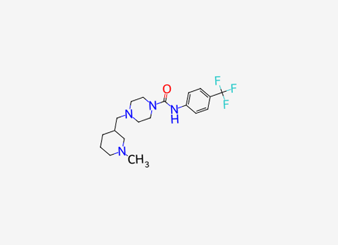 CN1CCCC(CN2CCN(C(=O)Nc3ccc(C(F)(F)F)cc3)CC2)C1